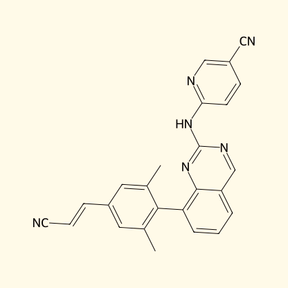 Cc1cc(/C=C/C#N)cc(C)c1-c1cccc2cnc(Nc3ccc(C#N)cn3)nc12